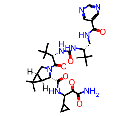 CC(C)(C)[C@H](NC(=O)N[C@H](CNC(=O)c1cncnc1)C(C)(C)C)C(=O)N1C[C@H]2[C@@H]([C@H]1C(=O)NC(C(=O)C(N)=O)C1CC1)C2(C)C